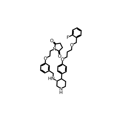 O=C1CCC(=O)N1CCOc1cccc(CN[C@@H]2CNCCC2c2ccc(OCCCOCc3ccccc3F)cc2)c1